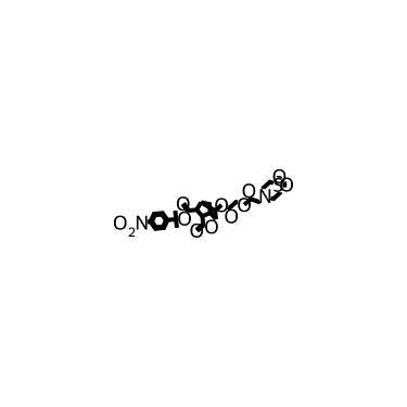 CC(C)(OC(=O)C1C2CC3C(OC(=O)C31)C2OC(=O)COC(=O)CN1CCS(=O)(=O)CC1)c1ccc([N+](=O)[O-])cc1